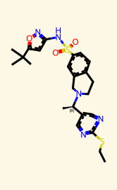 CCSc1ncc([C@@H](C)N2CCc3ccc(S(=O)(=O)Nc4cc(C(C)(C)C)on4)cc3C2)cn1